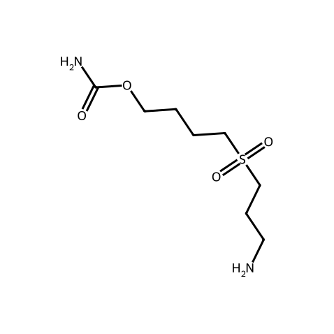 NCCCS(=O)(=O)CCCCOC(N)=O